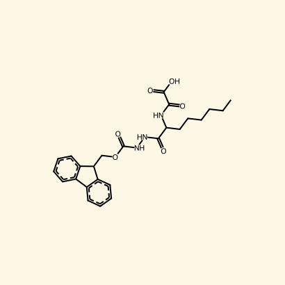 CCCCCCC(NC(=O)C(=O)O)C(=O)NNC(=O)OCC1c2ccccc2-c2ccccc21